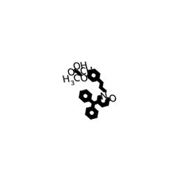 CC(C)(Oc1cccc(CCCn2cc(C(c3ccccc3)c3ccccc3)ccc2=O)c1)C(=O)O